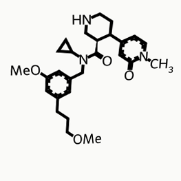 COCCCc1cc(CN(C(=O)[C@H]2CNCCC2c2ccn(C)c(=O)c2)C2CC2)cc(OC)c1